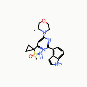 C[C@@H]1COCCN1c1cc(C2(S(C)(=N)=O)CC2)nc(-c2cccc3[nH]ccc23)n1